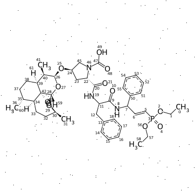 CCOP(=O)(/C=C/C(NC(=O)C(Cc1ccccc1)NC(=O)[C@@H]1C[C@@H](O[C@H]2O[C@@H]3O[C@@]4(C)CC[C@H]5[C@H](C)CC[C@@H]([C@H]2C)[C@@]35OO4)CN1C(=O)O)c1ccccc1)OCC